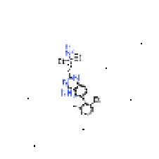 CCc1cccc(C)c1-c1ccc2nc(CCC(N)(CC)CC)ncc2c1.N